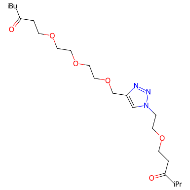 CCC(C)C(=O)CCOCCOCCOCc1cn(CCOCCC(=O)C(C)C)nn1